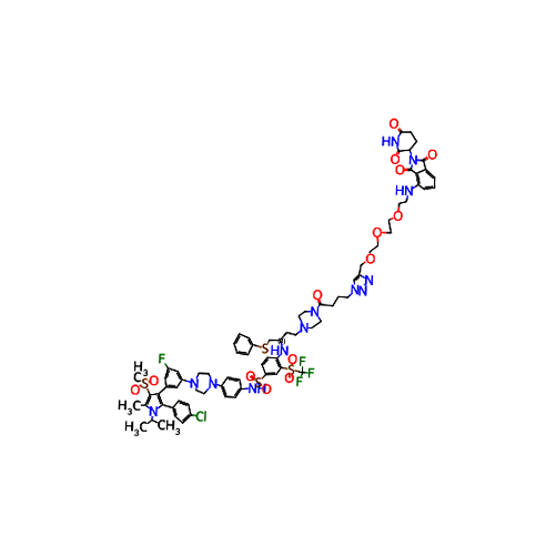 Cc1c(S(C)(=O)=O)c(-c2cc(F)cc(N3CCN(c4ccc(NS(=O)(=O)c5ccc(N[C@H](CCN6CCN(C(=O)CCCn7cc(COCCOCCOCCNc8cccc9c8C(=O)N(C8CCC(=O)NC8=O)C9=O)nn7)CC6)CSc6ccccc6)c(S(=O)(=O)C(F)(F)F)c5)cc4)CC3)c2)c(-c2ccc(Cl)cc2)n1C(C)C